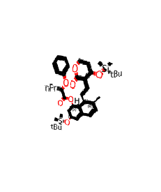 CCCC(Oc1ccccc1)C(=O)O[C@H]1C[C@H](O[Si](C)(C)C(C)(C)C)C=C2C=C[C@H](C)[C@H](CCC3C(=O)OCCC3O[Si](C)(C)C(C)(C)C)[C@H]21